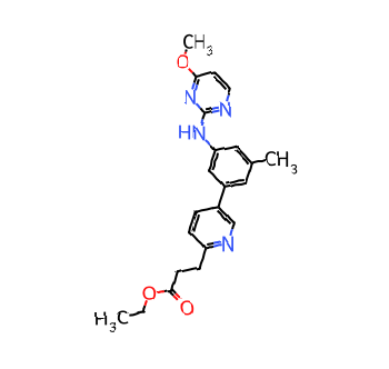 CCOC(=O)CCc1ccc(-c2cc(C)cc(Nc3nccc(OC)n3)c2)cn1